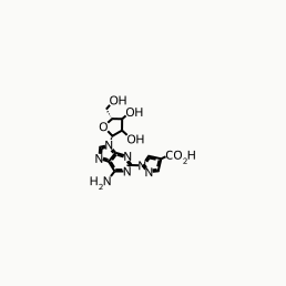 Nc1nc(-n2cc(C(=O)O)cn2)nc2c1ncn2[C@@H]1O[C@H](CO)C(O)C1O